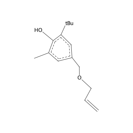 C=CCOCc1cc(C)c(O)c(C(C)(C)C)c1